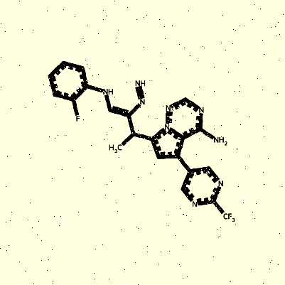 CC(/C(=C/Nc1ccccc1F)N=N)c1cc(-c2cnc(C(F)(F)F)nc2)c2c(N)ncnn12